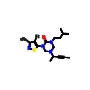 C=C(C)CCN1CN(C(C)C#CC)CN(c2snc(CCC)c2CC)C1=O